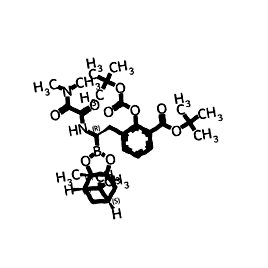 CN(C)C(=O)C(=O)N[C@@H](Cc1cccc(C(=O)OC(C)(C)C)c1OC(=O)OC(C)(C)C)B1OC2C[C@@H]3C[C@@H](C3(C)C)[C@]2(C)O1